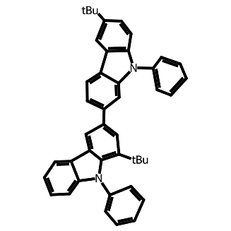 CC(C)(C)c1ccc2c(c1)c1ccc(-c3cc(C(C)(C)C)c4c(c3)c3ccccc3n4-c3ccccc3)cc1n2-c1ccccc1